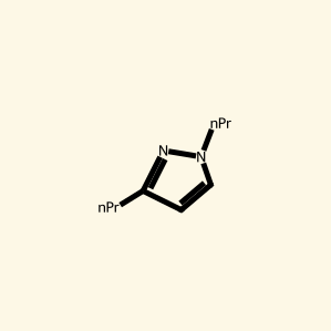 CCCc1ccn(CCC)n1